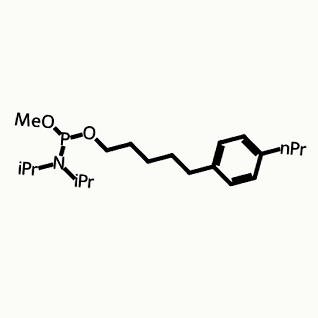 CCCc1ccc(CCCCCOP(OC)N(C(C)C)C(C)C)cc1